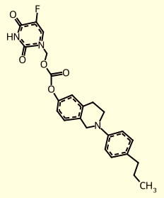 CCCc1ccc(N2CCc3cc(OC(=O)OCn4cc(F)c(=O)[nH]c4=O)ccc3C2)cc1